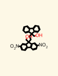 O=[N+]([O-])c1ccc2c(c1)C(CO)(CCC1(CO)c3ccccc3-c3ccccc31)c1cc([N+](=O)[O-])ccc1-2